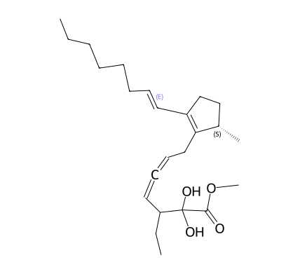 CCCCCC/C=C/C1=C(CC=C=CC(CC)C(O)(O)C(=O)OC)[C@@H](C)CC1